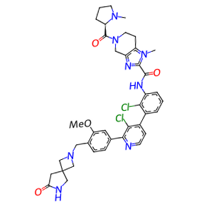 COc1cc(-c2nccc(-c3cccc(NC(=O)c4nc5c(n4C)CCN(C(=O)[C@H]4CCCN4C)C5)c3Cl)c2Cl)ccc1CN1CC2(CNC(=O)C2)C1